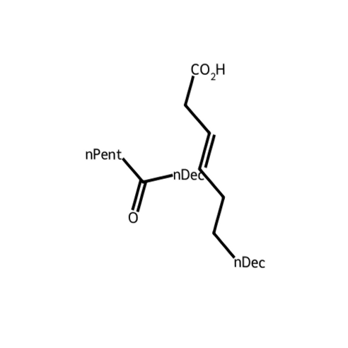 CCCCCCCCCCC(=O)CCCCC.CCCCCCCCCCCCC=CCC(=O)O